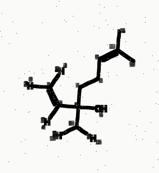 [2H]C([2H])=C([2H])C(O)(CCC=C(C)C)C([2H])[2H]